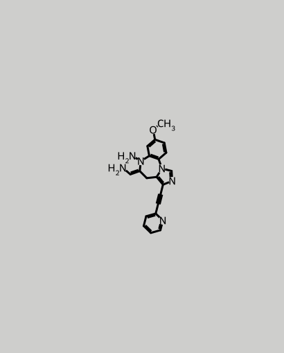 COc1ccc2c(c1)N(N)/C(=C\N)Cc1c(C#Cc3ccccn3)ncn1-2